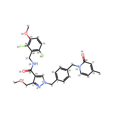 COCc1nn(Cc2ccc(Cn3ccc(C)cc3=O)cc2)cc1C(=O)NCc1c(F)ccc(OC)c1F